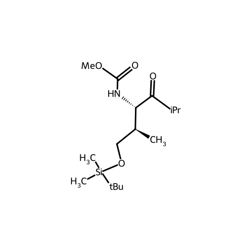 COC(=O)N[C@H](C(=O)C(C)C)[C@@H](C)CO[Si](C)(C)C(C)(C)C